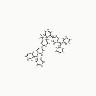 CC1(C)c2cc(-c3ccc(N(c4ccccc4)c4ccccc4)cc3)ccc2-c2c(-c3ccc(N(c4ccccc4)c4ccccc4)cc3)cccc21